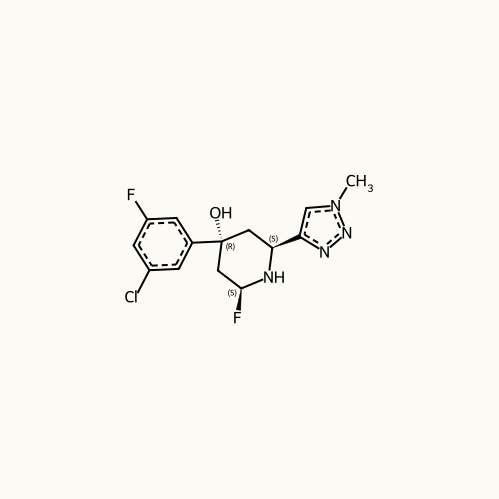 Cn1cc([C@@H]2C[C@](O)(c3cc(F)cc(Cl)c3)C[C@H](F)N2)nn1